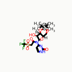 CC(C)(C)[Si]1(C(C)(C)C)OC[C@H]2O[C@@H](N(C(=O)CS(=O)(=O)C(F)(F)F)c3cc[nH]c(=O)n3)[C@@H](O)[C@@H]2O1